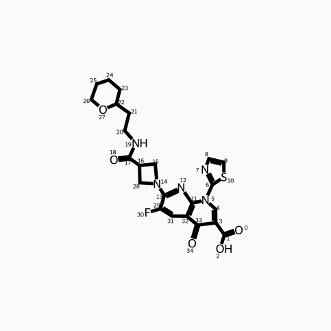 O=C(O)c1cn(-c2nccs2)c2nc(N3CC(C(=O)NCCC4CCCCO4)C3)c(F)cc2c1=O